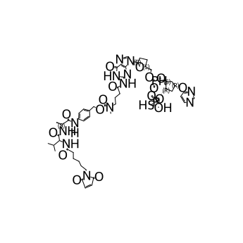 CC(C)C(NC(=O)CCCCCN1C(=O)C=CC1=O)C(=O)N[C@@H](C)C(=O)Nc1ccc(COC(=O)N(C)CCCC(=O)Nc2nc3c(ncn3[C@H]3CC[C@@H](CO[PH](=O)O[C@H]4C[C@H](Oc5ccncn5)C[C@@H]4CO[P@](=O)(O)S)O3)c(=O)[nH]2)cc1